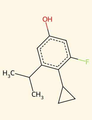 CC(C)c1cc(O)cc(F)c1C1CC1